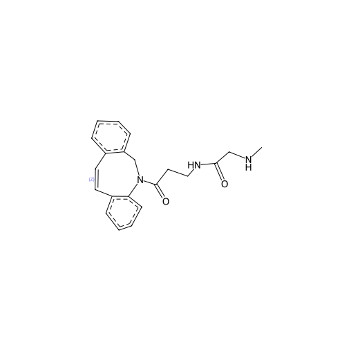 CNCC(=O)NCCC(=O)N1Cc2ccccc2/C=C\c2ccccc21